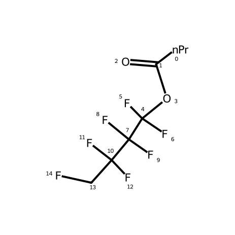 CCCC(=O)OC(F)(F)C(F)(F)C(F)(F)CF